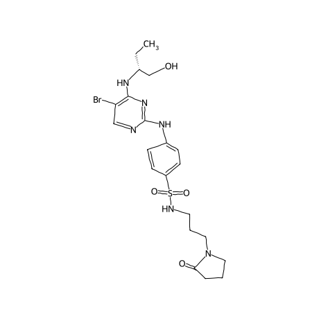 CC[C@H](CO)Nc1nc(Nc2ccc(S(=O)(=O)NCCCN3CCCC3=O)cc2)ncc1Br